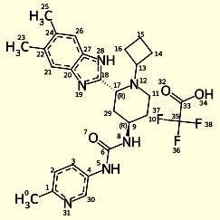 Cc1ccc(NC(=O)N[C@@H]2CCN(C3CCC3)[C@@H](c3nc4cc(C)c(C)cc4[nH]3)C2)cn1.O=C(O)C(F)(F)F